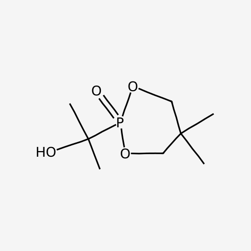 CC1(C)COP(=O)(C(C)(C)O)OC1